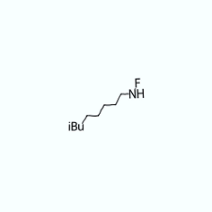 CCC(C)CCCCCNF